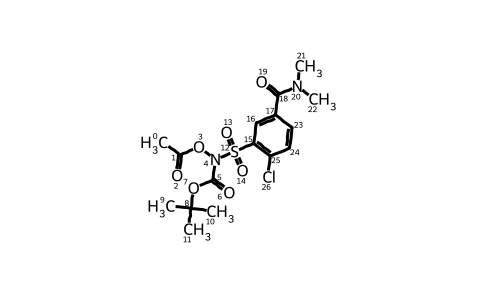 CC(=O)ON(C(=O)OC(C)(C)C)S(=O)(=O)c1cc(C(=O)N(C)C)ccc1Cl